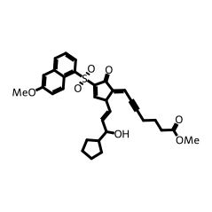 COC(=O)CCCC#CC=C1C(=O)C(S(=O)(=O)c2cccc3cc(OC)ccc23)=CC1C=CC(O)C1CCCC1